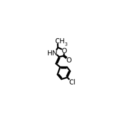 CC1N/C(=C/c2ccc(Cl)cc2)C(=O)O1